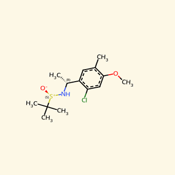 COc1cc(Cl)c([C@@H](C)N[S@+]([O-])C(C)(C)C)cc1C